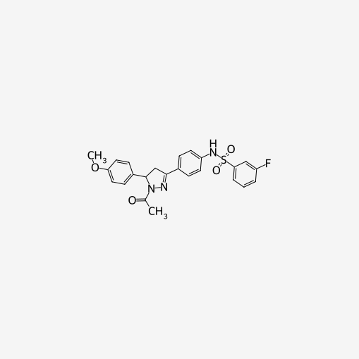 COc1ccc(C2CC(c3ccc(NS(=O)(=O)c4cccc(F)c4)cc3)=NN2C(C)=O)cc1